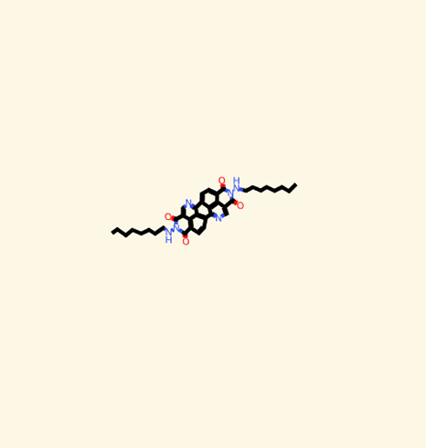 CCCCCCCCNN1C(=O)c2ccc3c4ncc5c6c(ccc(c7ncc(c2c37)C1=O)c64)C(=O)N(NCCCCCCCC)C5=O